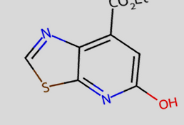 CCOC(=O)c1cc(O)nc2scnc12